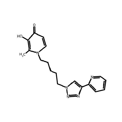 Cc1c(O)c(=O)ccn1CCCCCn1cc(-c2ccccn2)nn1